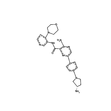 Nc1ncc(-c2ccc(N3CC[C@H](N)C3)cc2)nc1C(=O)Nc1cnccc1N1CCOCC1